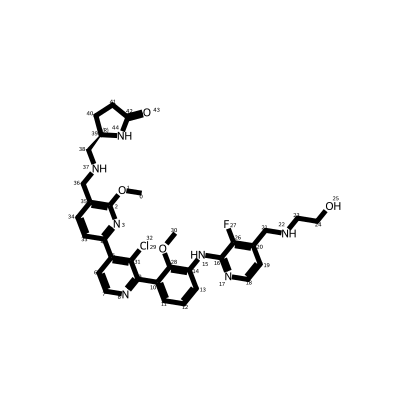 COc1nc(-c2ccnc(-c3cccc(Nc4nccc(CNCCO)c4F)c3OC)c2Cl)ccc1CNC[C@H]1CCC(=O)N1